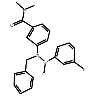 CN(C)C(=O)c1cccc(N(Cc2ccccc2)[S+]([O-])c2cccc(F)c2)c1